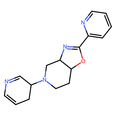 C1=CN=CC(N2CCC3OC(c4ccccn4)=NC3C2)C1